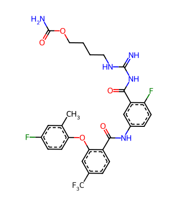 Cc1cc(F)ccc1Oc1cc(C(F)(F)F)ccc1C(=O)Nc1ccc(F)c(C(=O)NC(=N)NCCCCOC(N)=O)c1